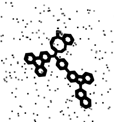 C=C1/C=C\C=C(\N(c2ccc(-c3ccc4c(c3)c3ccccc3n4-c3ccc4ccccc4c3)cc2)c2ccc3c4ccccc4c4ccccc4c3c2)CSc2ccccc21